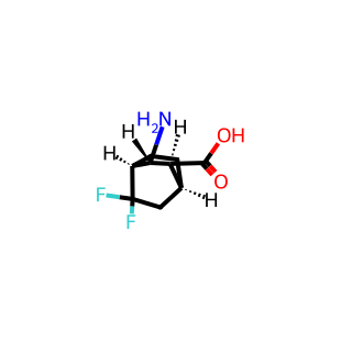 N[C@@H]1[C@@H](C(=O)O)[C@H]2CC[C@@H]1C(F)(F)C2